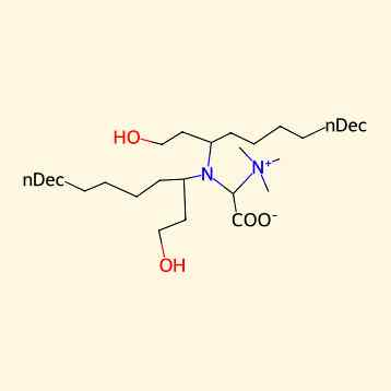 CCCCCCCCCCCCCCC(CCO)N(C(CCO)CCCCCCCCCCCCCC)C(C(=O)[O-])[N+](C)(C)C